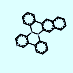 c1ccc2c(c1)B1c3cc4ccccc4cc3-c3ccccc3N1c1ccncc1-2